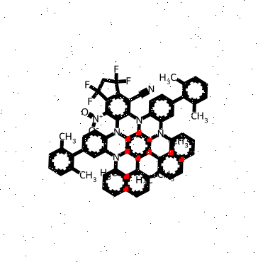 Cc1cccc(C)c1-c1ccc2c(c1)N(c1ccccc1)c1cc(-c3c(C)cccc3C)ccc1N2c1c(C#N)c2c(c([N+](=O)[O-])c1N1c3ccc(-c4c(C)cccc4C)cc3N(c3ccccc3)c3cc(-c4c(C)cccc4C)ccc31)C(F)(F)CC2(F)F